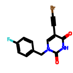 O=c1[nH]c(=O)n(Cc2ccc(F)cc2)cc1C#CBr